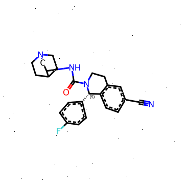 N#Cc1ccc2c(c1)CCN(C(=O)NC1CN3CCC1CC3)[C@H]2c1ccc(F)cc1